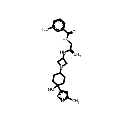 C=C(CNC(=O)c1cccc(C(F)(F)F)c1)NC1CN(C2CCC(O)(c3cc(C)ns3)CC2)C1